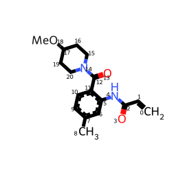 C=CC(=O)Nc1cc(C)ccc1C(=O)N1CCC(OC)CC1